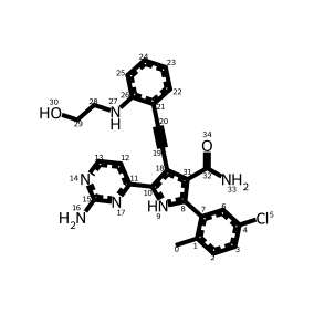 Cc1ccc(Cl)cc1-c1[nH]c(-c2ccnc(N)n2)c(C#Cc2ccccc2NCCO)c1C(N)=O